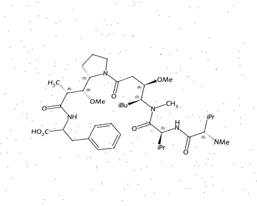 CCC(C)[C@@H]([C@@H](CC(=O)N1CCC[C@H]1[C@H](OC)[C@@H](C)C(=O)NC(Cc1ccccc1)C(=O)O)OC)N(C)C(=O)[C@@H](NC(=O)[C@@H](NC)C(C)C)C(C)C